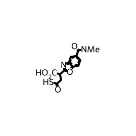 CNC(=O)c1ccc2oc(C(CC(=O)S)C(=O)O)nc2c1